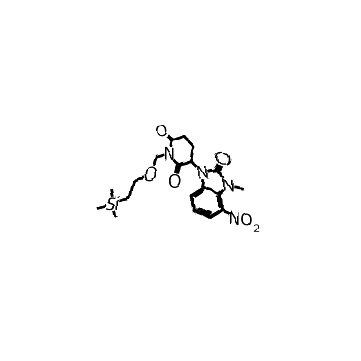 Cn1c(=O)n(C2CCC(=O)N(COCC[Si](C)(C)C)C2=O)c2cccc([N+](=O)[O-])c21